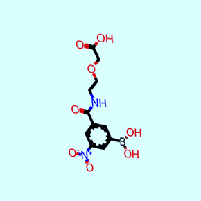 O=C(O)COCCNC(=O)c1cc(B(O)O)cc([N+](=O)[O-])c1